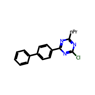 CCCc1nc(Cl)nc(-c2ccc(-c3ccccc3)cc2)n1